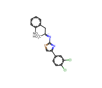 O=C(O)/C(Cc1ccccc1[N+](=O)[O-])=N\c1nc(-c2ccc(Cl)c(Cl)c2)cs1